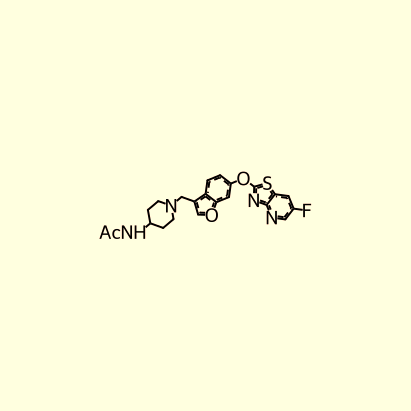 CC(=O)NC1CCN(Cc2coc3cc(Oc4nc5ncc(F)cc5s4)ccc23)CC1